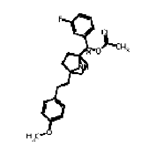 COc1ccc(CCC23CCC([C@H](OC(C)=O)c4cccc(F)c4)(CC2)N3)cc1